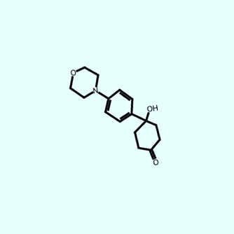 O=C1CCC(O)(c2ccc(N3CCOCC3)cc2)CC1